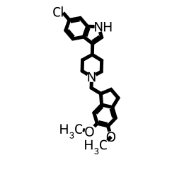 COc1cc2c(cc1OC)C(CN1CCC(c3c[nH]c4cc(Cl)ccc34)CC1)CC2